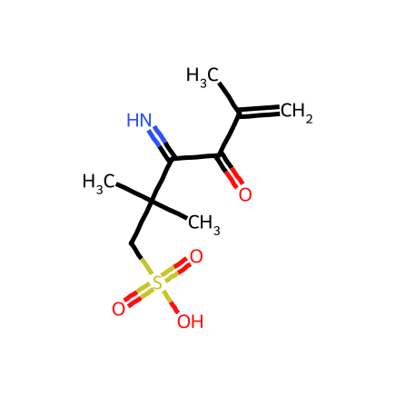 C=C(C)C(=O)C(=N)C(C)(C)CS(=O)(=O)O